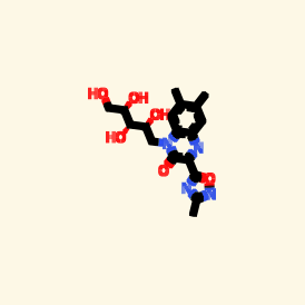 Cc1noc(-c2nc3cc(C)c(C)cc3n(C[C@H](O)[C@H](O)[C@H](O)CO)c2=O)n1